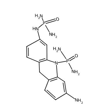 Nc1ccc2c(c1)N(P(N)(N)=O)c1cc(NP(N)(N)=O)ccc1C2